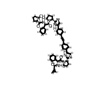 CN1CCC[C@@H]1C(=O)N[C@@H](C(=O)N1CCC[C@H]1c1ncc(-c2ccc(C#Cc3ccc(-c4cnc([C@@H]5CCCN5C(=O)[C@H](NC(=O)C5CC5)c5ccccc5)[nH]4)cc3)cc2)[nH]1)c1ccccc1